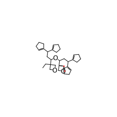 CCC1(C(CC(C2=CCCC2)C2=CCCC2)OC(CC(C2=CCCC2)C2=CCCC2)C2(CC)COC2)COC1